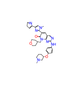 CN1CCCC(Oc2ccc(Nc3ncc4cc(-c5nc(C6=CCC=N6)cn5C)c(=O)n(CC5CCOCC5)c4n3)cc2)C1